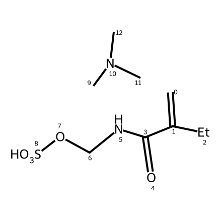 C=C(CC)C(=O)NCOS(=O)(=O)O.CN(C)C